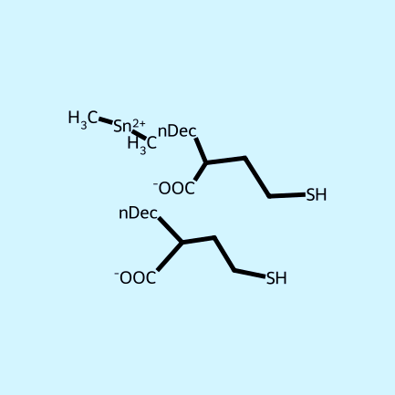 CCCCCCCCCCC(CCS)C(=O)[O-].CCCCCCCCCCC(CCS)C(=O)[O-].[CH3][Sn+2][CH3]